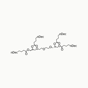 CCCCCCCCCCCCCC(=O)OC[C@H](COCCOCCOC[C@@H](COC(=O)CCCCCCCCCCCCC)OC(=O)CCCCCCCCCCCCC)OC(=O)CCCCCCCCCCCCC